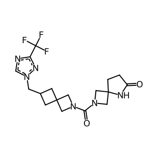 O=C1CCC2(CN(C(=O)N3CC4(CC(Cn5cnc(C(F)(F)F)n5)C4)C3)C2)N1